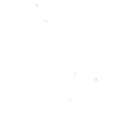 CCCCC1=NC2(CCCC2)C(=O)N1Cc1ccc(-c2ccccc2S(=O)(=O)N(COC)c2noc(C)c2Cl)c2c1COC2